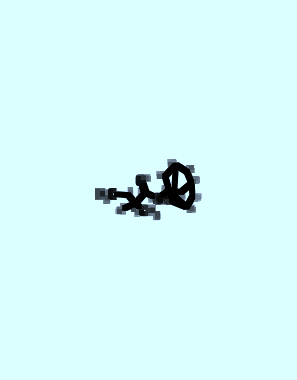 CCC(C)(I)C(=O)OC12CC3CC(C1)C(O)C(C3)C2